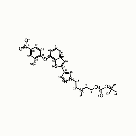 CN(CCOC(=O)OC(C)(C)C)CCn1cc(-c2cc3nccc(Oc4ccc([N+](=O)[O-])cc4F)c3s2)cn1